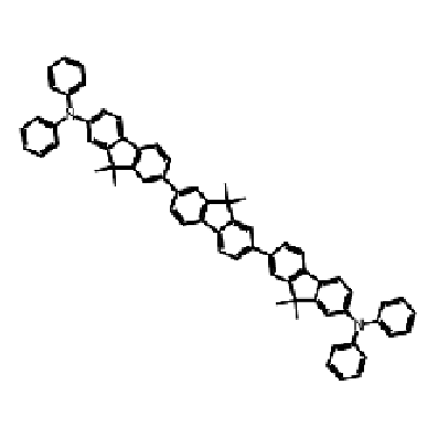 CC1(C)c2cc(-c3ccc4c(c3)C(C)(C)c3cc(N(c5ccccc5)c5ccccc5)ccc3-4)ccc2-c2ccc(-c3ccc4c(c3)C(C)(C)c3cc(N(c5ccccc5)c5ccccc5)ccc3-4)cc21